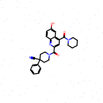 N#CC1(c2ccccc2)CCN(C(=O)c2cc(C(=O)N3CCCCC3)c3cc(O)ccc3n2)CC1